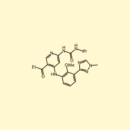 CCC(=O)c1cnc(NC(=O)NC(C)C)cc1Nc1cccc(-c2ncn(C)n2)c1OC